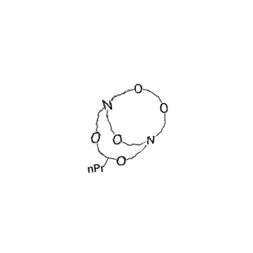 CCCC1COCCN2CCOCCOCCN(CCOCC2)CCO1